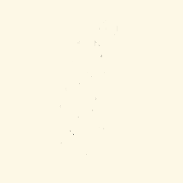 C[C@@H]1CC(c2ccc3c(c2)oc(=O)n3C)CCN1C(=O)O